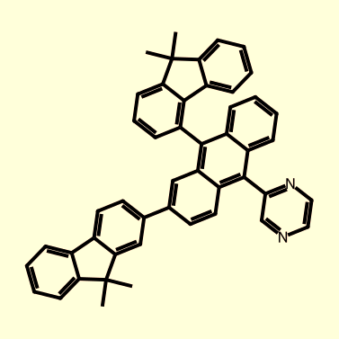 CC1(C)c2ccccc2-c2ccc(-c3ccc4c(-c5cnccn5)c5ccccc5c(-c5cccc6c5-c5ccccc5C6(C)C)c4c3)cc21